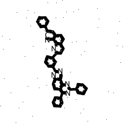 c1ccc(-c2cnc3c(ccc4ccc(-c5cccc(-c6ncc7c(ccc8c(-c9ccccc9)nc(-c9ccccc9)nc87)n6)c5)nc43)c2)cc1